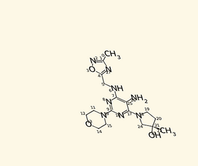 Cc1noc(CNc2nc(N3CCOCC3)nc(N3CC[C@](C)(O)C3)c2N)n1